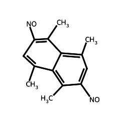 Cc1cc(N=O)c(C)c2c(C)cc(N=O)c(C)c12